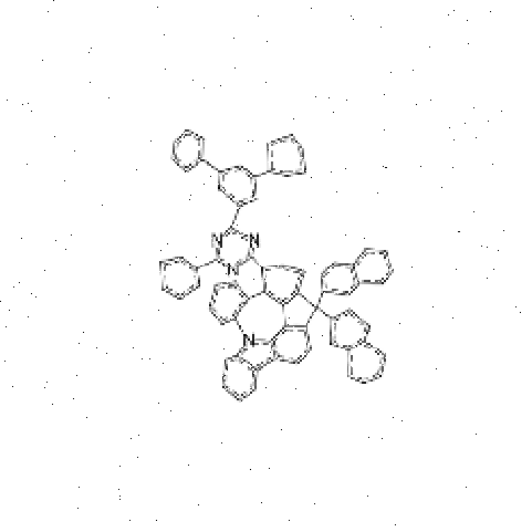 c1ccc(-c2cc(-c3ccccc3)cc(-c3nc(-c4ccccc4)nc(-c4ccc5c6c4-c4ccccc4-n4c7ccccc7c7ccc(c-6c74)C5(c4ccc5ccccc5c4)c4ccc5ccccc5c4)n3)c2)cc1